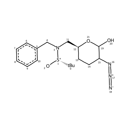 CC(C)(C)[S@+]([O-])N(Cc1ccccc1)C[C@@H]1CCC(N=[N+]=[N-])C(O)O1